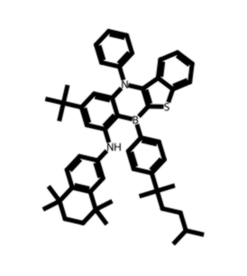 CC(C)CCC(C)(C)c1ccc(B2c3sc4ccccc4c3N(c3ccccc3)c3cc(C(C)(C)C)cc(Nc4ccc5c(c4)C(C)(C)CCC5(C)C)c32)cc1